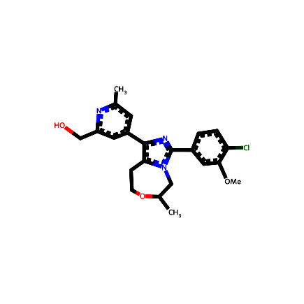 COc1cc(-c2nc(-c3cc(C)nc(CO)c3)c3n2CC(C)OCC3)ccc1Cl